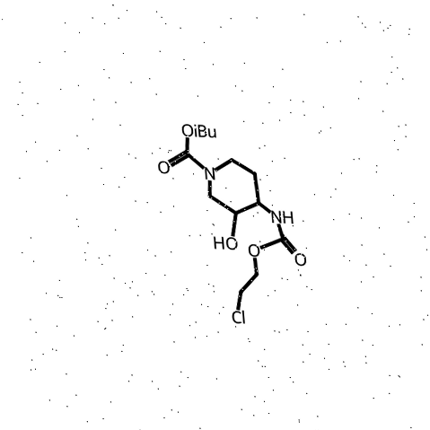 CC(C)COC(=O)N1CCC(NC(=O)OCCCl)C(O)C1